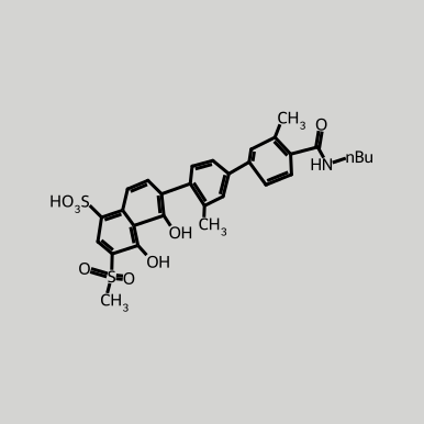 CCCCNC(=O)c1ccc(-c2ccc(-c3ccc4c(S(=O)(=O)O)cc(S(C)(=O)=O)c(O)c4c3O)c(C)c2)cc1C